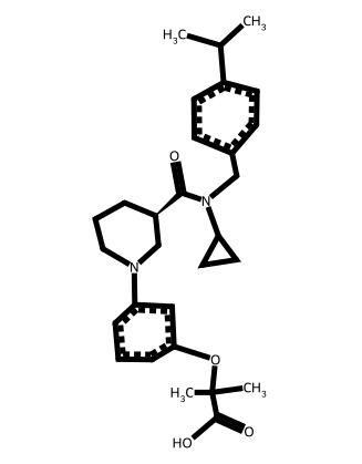 CC(C)c1ccc(CN(C(=O)[C@@H]2CCCN(c3cccc(OC(C)(C)C(=O)O)c3)C2)C2CC2)cc1